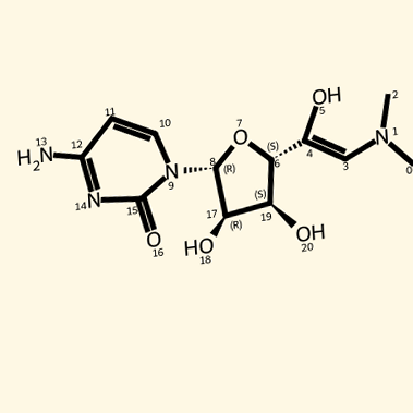 CN(C)C=C(O)[C@H]1O[C@@H](n2ccc(N)nc2=O)[C@H](O)[C@@H]1O